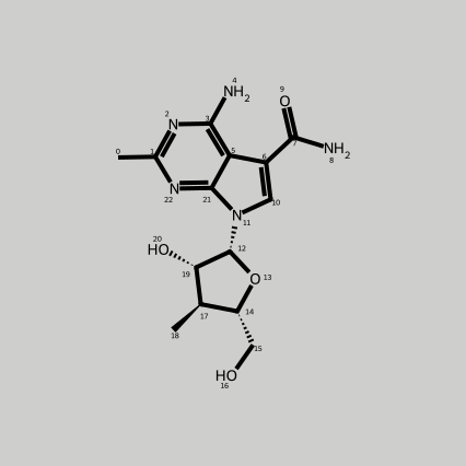 Cc1nc(N)c2c(C(N)=O)cn([C@@H]3O[C@H](CO)[C@@H](C)[C@@H]3O)c2n1